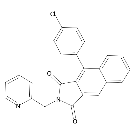 O=C1c2cc3ccccc3c(-c3ccc(Cl)cc3)c2C(=O)N1Cc1ccccn1